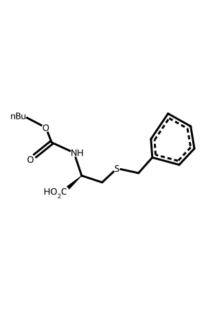 CCCCOC(=O)N[C@@H](CSCc1ccccc1)C(=O)O